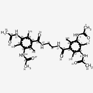 CC(=O)Nc1c(I)c(NC(C)=O)c(I)c(C(=O)NCCNC(=O)c2c(I)c(NC(C)=O)c(I)c(NC(C)=O)c2I)c1I